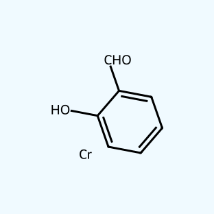 O=Cc1ccccc1O.[Cr]